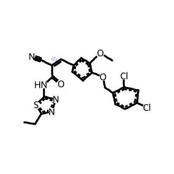 CCc1nnc(NC(=O)/C(C#N)=C\c2ccc(OCc3ccc(Cl)cc3Cl)c(OC)c2)s1